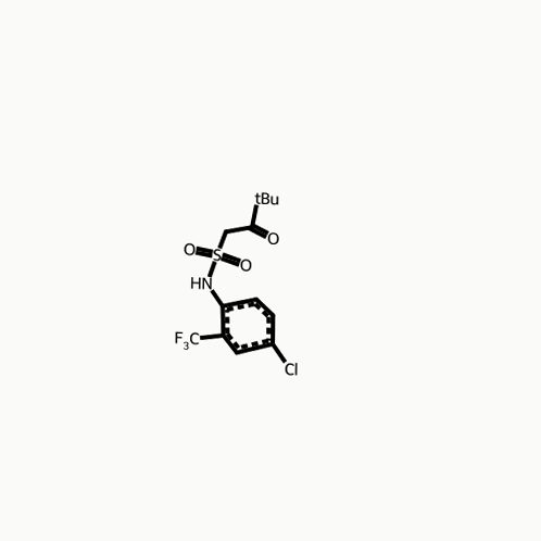 CC(C)(C)C(=O)CS(=O)(=O)Nc1ccc(Cl)cc1C(F)(F)F